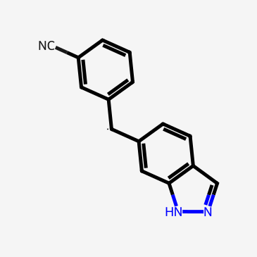 N#Cc1cccc([CH]c2ccc3cn[nH]c3c2)c1